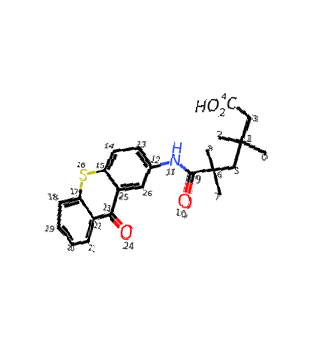 CC(C)(CC(=O)O)CC(C)(C)C(=O)Nc1ccc2sc3ccccc3c(=O)c2c1